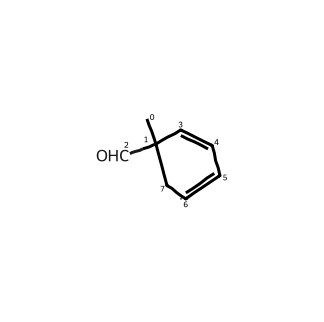 CC1(C=O)C=CC=[C]C1